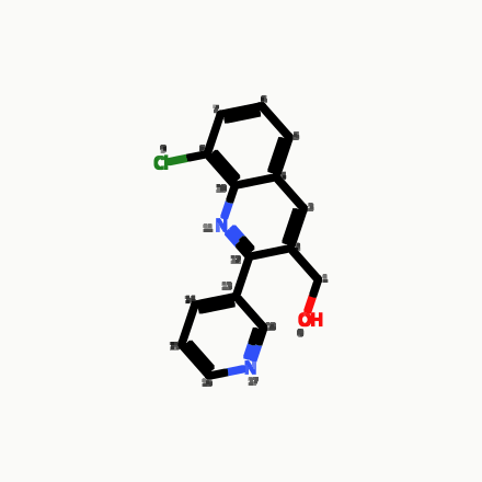 OCc1cc2cccc(Cl)c2nc1-c1cccnc1